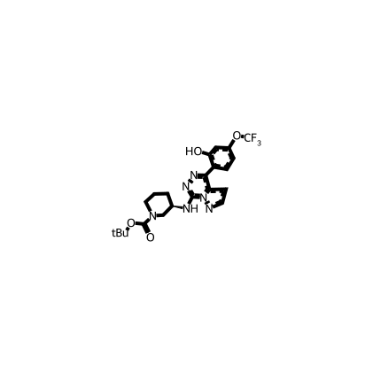 CC(C)(C)OC(=O)N1CCC[C@@H](Nc2nnc(-c3ccc(OC(F)(F)F)cc3O)c3ccnn23)C1